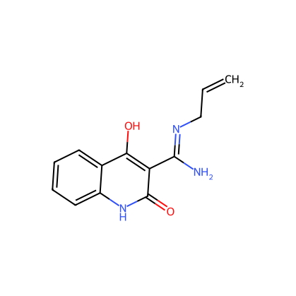 C=CCN=C(N)c1c(O)c2ccccc2[nH]c1=O